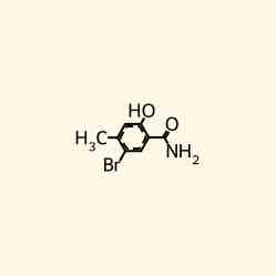 Cc1cc(O)c(C(N)=O)cc1Br